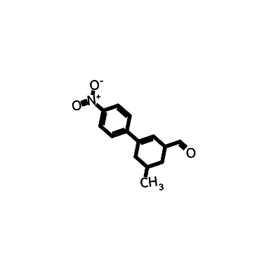 CC1CC(c2ccc([N+](=O)[O-])cc2)=CC(C=O)C1